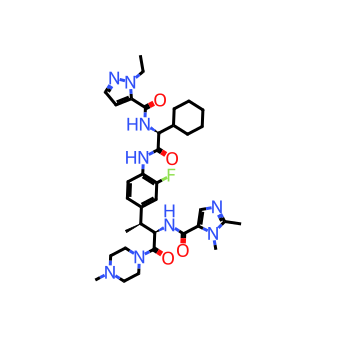 CCn1nccc1C(=O)N[C@H](C(=O)Nc1ccc([C@H](C)[C@@H](NC(=O)c2cnc(C)n2C)C(=O)N2CCN(C)CC2)cc1F)C1CCCCC1